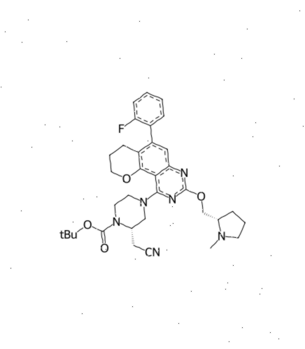 CN1CCC[C@H]1COc1nc(N2CCN(C(=O)OC(C)(C)C)[C@@H](CC#N)C2)c2c3c(c(-c4ccccc4F)cc2n1)CCCO3